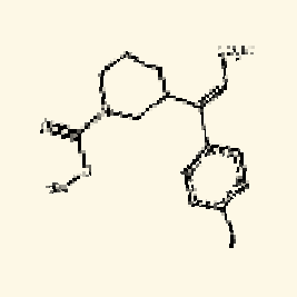 CCOC(=O)C=C(c1ccc(F)cc1)C1CCCN(C(=O)OC(C)(C)C)C1